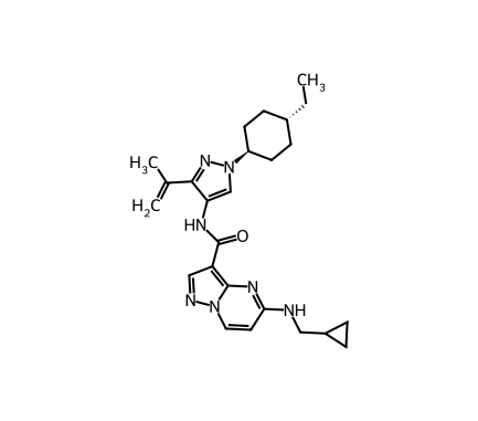 C=C(C)c1nn([C@H]2CC[C@H](CC)CC2)cc1NC(=O)c1cnn2ccc(NCC3CC3)nc12